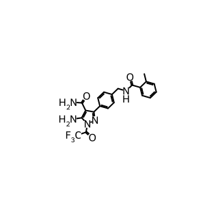 Cc1ccccc1C(=O)NCc1ccc(-c2nn(C(=O)C(F)(F)F)c(N)c2C(N)=O)cc1